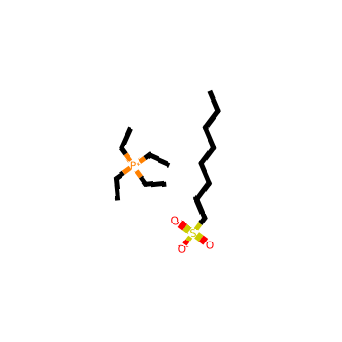 CCCCCCCCS(=O)(=O)[O-].CC[P+](CC)(CC)CC